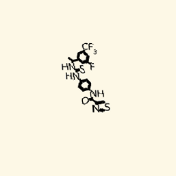 CC(NC(=S)Nc1ccc(NC(=O)c2cscn2)cc1)c1cc(F)cc(C(F)(F)F)c1